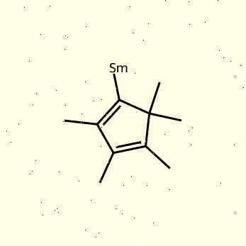 CC1=C(C)C(C)(C)[C]([Sm])=C1C